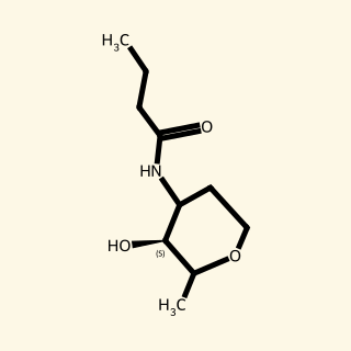 CCCC(=O)NC1CCOC(C)[C@H]1O